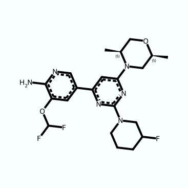 C[C@H]1CN(c2cc(-c3cnc(N)c(OC(F)F)c3)nc(N3CCCC(F)C3)n2)[C@@H](C)CO1